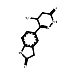 CC1CC(=O)NN=C1c1ccc2c(c1)CC(=O)N2